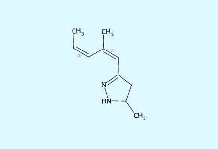 C/C=C\C(C)=C/C1=NNC(C)C1